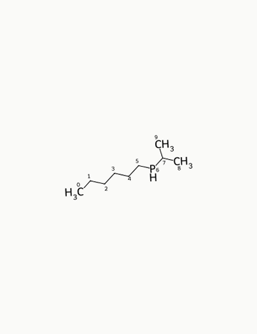 CCCCCCPC(C)C